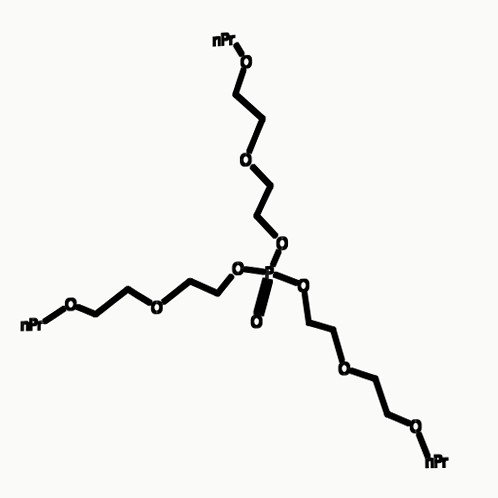 CCCOCCOCCOP(=O)(OCCOCCOCCC)OCCOCCOCCC